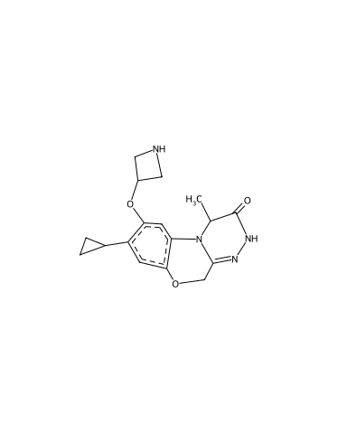 CC1C(=O)NN=C2COc3cc(C4CC4)c(OC4CNC4)cc3N21